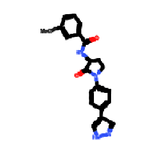 COc1cccc(C(=O)NC2CCN(c3ccc(-c4cn[nH]c4)cc3)C2=O)c1